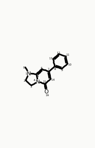 CN1CCn2c1cc(-c1ccccc1)cc2=O